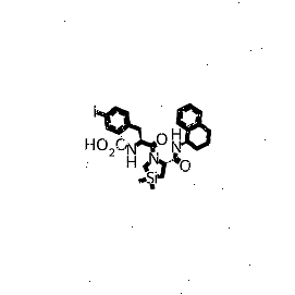 C[Si]1(C)C[C@@H](C(=O)N[C@@H]2CCCc3ccccc32)N(C(=O)[C@H](Cc2ccc(I)cc2)NC(=O)O)C1